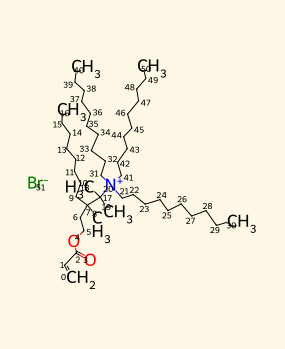 C=CC(=O)OCCC(C)(CCCCCCCC)C(C)(C)[N+](CCCCCCCCCC)(CCCCCCCCCC)CCCCCCCCCC.[Br-]